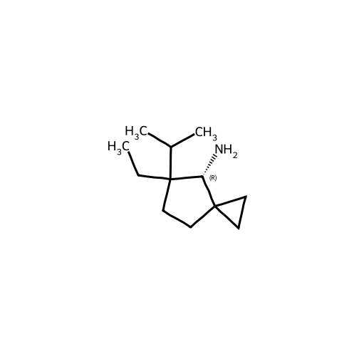 CCC1(C(C)C)CCC2(CC2)[C@H]1N